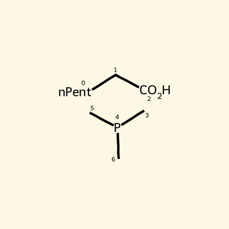 CCCCCCC(=O)O.CP(C)C